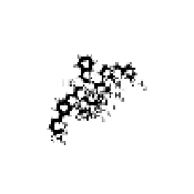 Cc1ccc(-c2ccc(C[C@H](NC(=O)[C@@H](N(C)C(=O)O)C(C)(C)C)[C@@H](O)C[C@H](Cc3ccccc3)NC(=O)[C@@H](N3CCN(Cc4csc(C)n4)C3=O)C(C)(C)C)cc2)nc1